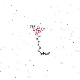 CCCCCCCCCCCCCCCOP(=O)(OCC)OCC